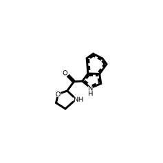 O=C(c1[nH]cc2ccccc12)C1NCCO1